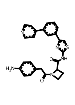 Nc1ccc(CC(=O)N2CCC2C(=O)Nc2nc(-c3cccc(-c4ccncc4)c3)cs2)cc1